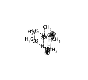 CCCCCCCCC(CC)OC(=O)CCCCCCCN(CCCCCCCC(=O)OC(CCCCCCCC)CCCCCCCC)CCCNC1=NS(=O)(=O)N=C1NC.CCOC1=NS(=O)(=O)N=C1NC